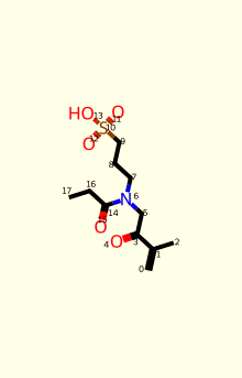 C=C(C)C(=O)CN(CCCS(=O)(=O)O)C(=O)CC